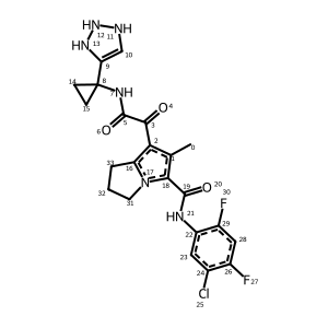 Cc1c(C(=O)C(=O)NC2(C3=CNNN3)CC2)c2n(c1C(=O)Nc1cc(Cl)c(F)cc1F)CCC2